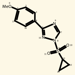 COc1ccc(-c2ncn(S(=O)(=O)C3CC3)n2)cc1